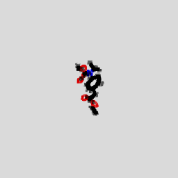 CCOC(=O)C[C@H]1CC[C@H](N(C(=O)OC)C(C)C)CC1